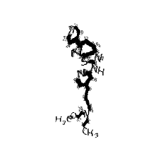 CCCN(CCCc1ccnc(Nc2nc3ccc(-c4ccncc4)nc3s2)c1)CCOC